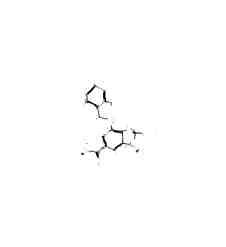 Cc1cccc(C)c1CNc1cc(C(=S)N(C)C)cc2c1nc(C)n2C